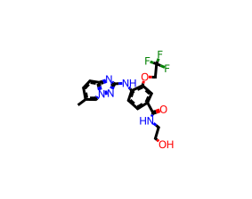 Cc1ccc2nc(Nc3ccc(C(=O)NCCO)cc3OCC(F)(F)F)nn2c1